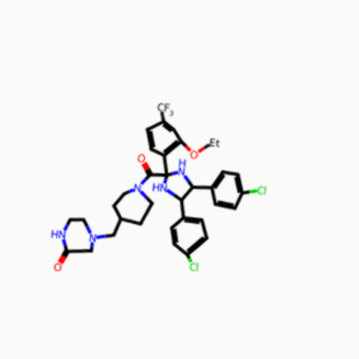 CCOc1cc(C(F)(F)F)ccc1C1(C(=O)N2CCC(CN3CCNC(=O)C3)CC2)NC(c2ccc(Cl)cc2)C(c2ccc(Cl)cc2)N1